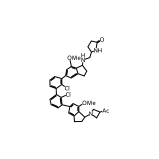 COc1cc(-c2cccc(-c3cccc(-c4cc5c(c(OC)c4)C(N4CC(C(C)=O)C4)CC5)c3Cl)c2Cl)cc2c1C(NCC1CCC(=O)N1)CC2